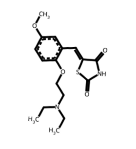 CCN(CC)CCOc1ccc(OC)cc1C=C1SC(=O)NC1=O